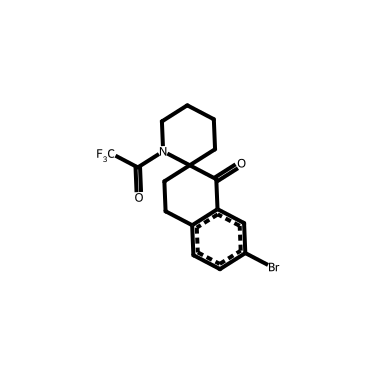 O=C(N1CCCCC12CCc1ccc(Br)cc1C2=O)C(F)(F)F